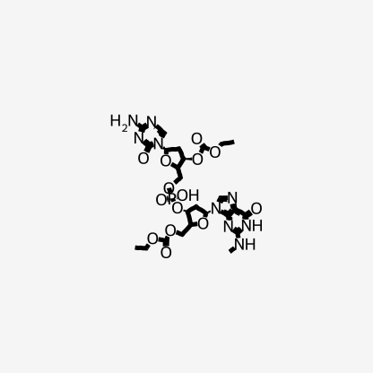 CCOC(=O)OCC1O[C@@H](n2cnc3c(=O)[nH]c(NC)nc32)C[C@H]1OP(=O)(O)OCC1O[C@@H](n2cnc(N)nc2=O)C[C@H]1OC(=O)OCC